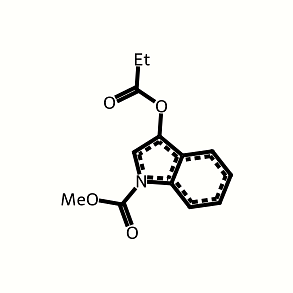 CCC(=O)Oc1cn(C(=O)OC)c2ccccc12